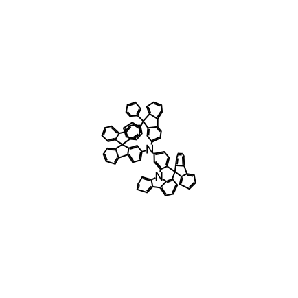 c1ccc(C2(c3ccccc3)c3ccccc3-c3ccc(N(c4ccc5c(c4)-n4c6ccccc6c6cccc(c64)C54c5ccccc5-c5ccccc54)c4ccc5c(c4)C4(c6ccccc6-c6ccccc64)c4ccccc4-5)cc32)cc1